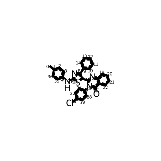 Cc1ccc(Nc2nc(-c3ccccc3)c(-c3nc4ccccc4c(=O)n3-c3ccc(Cl)cc3)s2)cc1